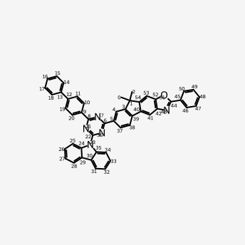 CC1(C)c2cc(-c3nc(-c4ccc(-c5ccccc5)cc4)nc(-n4c5ccccc5c5ccccc54)n3)ccc2-c2cc3nc(-c4ccccc4)oc3cc21